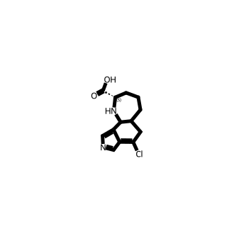 O=C(O)[C@@H]1CCCC2CC(Cl)=C3C=NC=C3C2N1